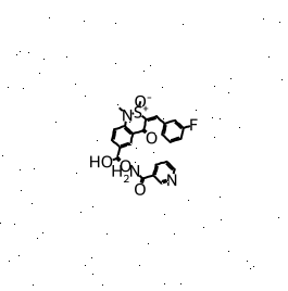 CN1c2ccc(C(=O)O)cc2C(=O)/C(=C\c2cccc(F)c2)[S+]1[O-].NC(=O)c1cccnc1